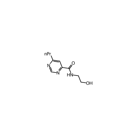 CCCc1cc(C(=O)NCCO)ncn1